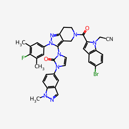 Cc1cc(-n2nc3c(c2-n2ccn(-c4ccc5c(cnn5C)c4)c2=O)CN(C(=O)c2cc4cc(Br)ccc4n2CC#N)CC3)cc(C)c1F